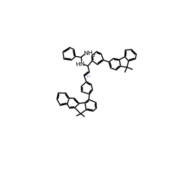 CC1(C)c2ccccc2-c2cc(-c3cccc(C(/C=C/c4ccc(-c5cccc6c5-c5cc7ccccc7cc5C6(C)C)cc4)NC(N)c4ccccc4)c3)ccc21